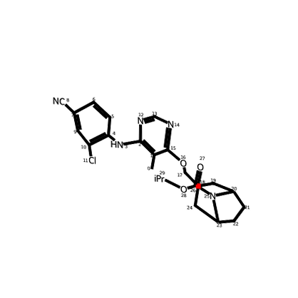 Cc1c(Nc2ccc(C#N)cc2Cl)ncnc1OCC1CC2CCC(C1)N2C(=O)OC(C)C